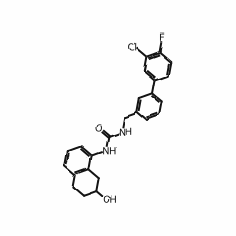 O=C(NCc1cccc(-c2ccc(F)c(Cl)c2)c1)Nc1cccc2c1CC(O)CC2